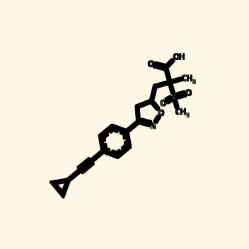 CC(CC1CC(c2ccc(C#CC3CC3)cc2)=NO1)(C(=O)O)S(C)(=O)=O